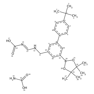 CC(C)(C)c1ccc(-c2cc(CNC=NC(=O)O)cc(B3OC(C)(C)C(C)(C)O3)c2)cc1.NC(=O)O